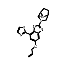 C=CCOc1cc(-c2nccs2)c2oc(N3CC4CCC(C3)N4)nc2c1